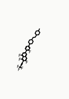 CC1CCC(CCC2CCC(c3ccc(-c4cc(F)c5c(F)c(C#CC(F)(F)F)c(F)cc5c4)c(F)c3)CC2)CC1